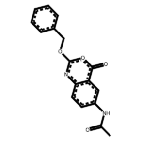 CC(=O)Nc1ccc2nc(OCc3ccccc3)oc(=O)c2c1